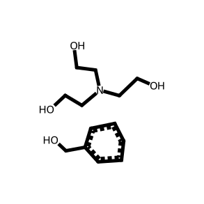 OCCN(CCO)CCO.OCc1ccccc1